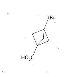 CC(C)(C)C12CC(C(=O)O)(C1)C2